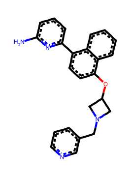 Nc1cccc(-c2ccc(OC3CN(Cc4cccnc4)C3)c3ccccc23)n1